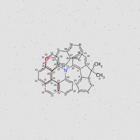 CC1(C)c2ccccc2-c2c(N(c3ccccc3-c3ccccc3)c3ccccc3-c3cccc4oc5cc6ccccc6cc5c34)cccc21